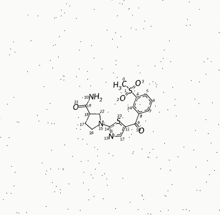 CS(=O)(=O)c1cccc(C(=O)c2cnc(N3CCC(C(N)=O)C3)s2)c1